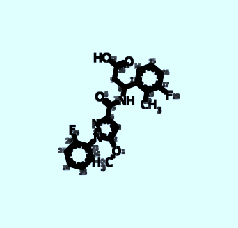 COc1cc(C(=O)NC(CC(=O)O)c2cccc(F)c2C)nn1-c1ccccc1F